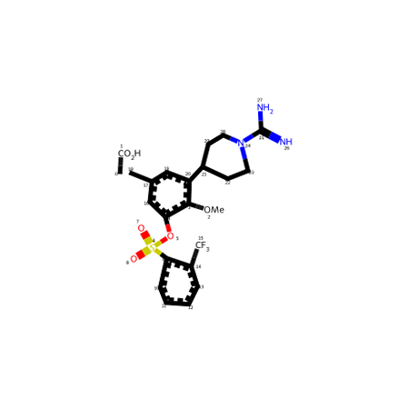 CC(=O)O.COc1c(OS(=O)(=O)c2ccccc2C(F)(F)F)cc(C)cc1C1CCN(C(=N)N)CC1